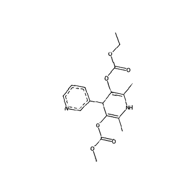 CCOC(=O)OC1=C(C)NC(C)=C(OC(=O)OC)C1c1cccnc1